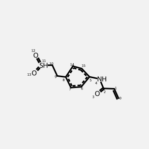 C=CC(=O)Nc1ccc(CC[SH](=O)=O)cc1